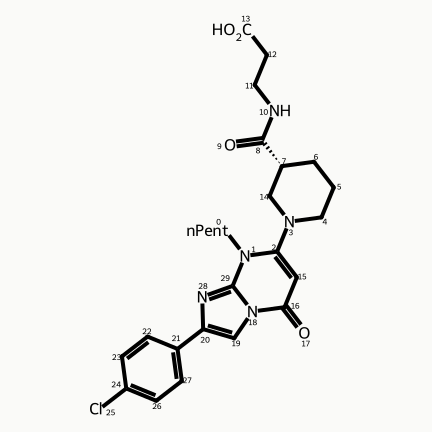 CCCCCn1c(N2CCC[C@@H](C(=O)NCCC(=O)O)C2)cc(=O)n2cc(-c3ccc(Cl)cc3)nc12